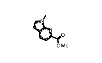 COC(=O)c1ccc2ccn(C)c2n1